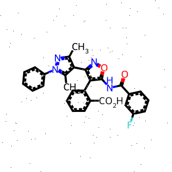 Cc1nn(-c2ccccc2)c(C)c1-c1noc(NC(=O)c2cccc(F)c2)c1-c1ccccc1C(=O)O